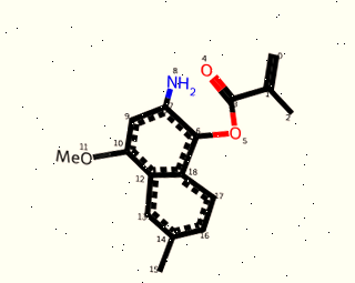 C=C(C)C(=O)Oc1c(N)cc(OC)c2cc(C)ccc12